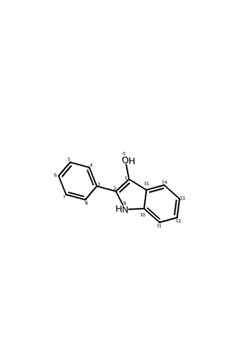 Oc1c(-c2ccccc2)[nH]c2ccccc12